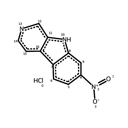 Cl.O=[N+]([O-])c1ccc2c(c1)[nH]c1cnccc12